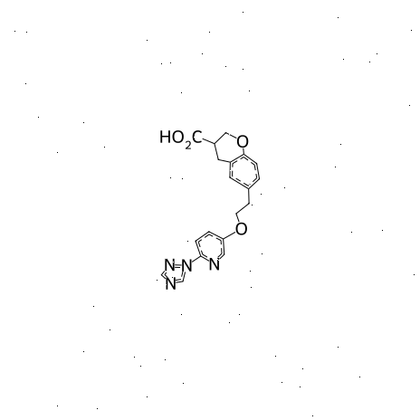 O=C(O)C1COc2ccc(CCOc3ccc(-n4cncn4)nc3)cc2C1